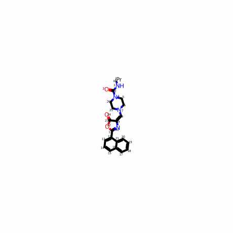 CC(C)NC(=O)N1CCN(/C=C2/N=C(c3cccc4ccccc34)OC2=O)CC1